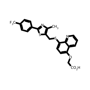 Cc1nc(-c2ccc(C(F)(F)F)cc2)sc1CSc1ccc(OCC(=O)O)c2cccnc12